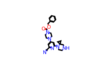 N#Cc1cc(N2CCN(C(=O)OCc3ccccc3)CC2)cc(N2CCNCC23CC3)n1